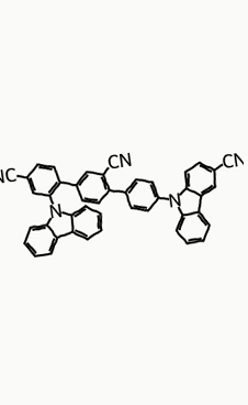 N#Cc1ccc(-c2ccc(-c3ccc(-n4c5ccccc5c5cc(C#N)ccc54)cc3)c(C#N)c2)c(-n2c3ccccc3c3ccccc32)c1